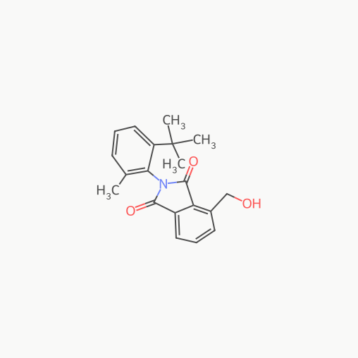 Cc1cccc(C(C)(C)C)c1N1C(=O)c2cccc(CO)c2C1=O